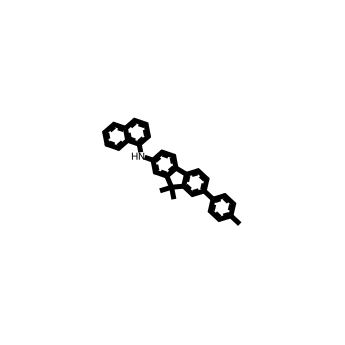 Cc1ccc(-c2ccc3c(c2)C(C)(C)c2cc(Nc4cccc5ccccc45)ccc2-3)cc1